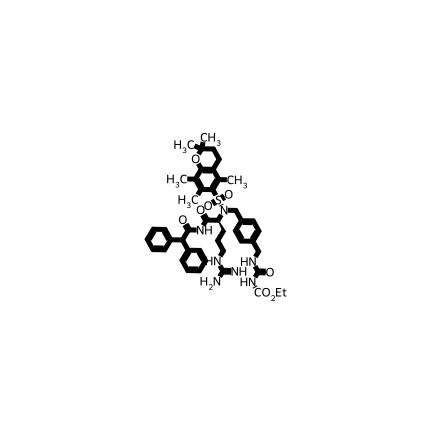 CCOC(=O)NC(=O)NCc1ccc(CN([C@@H](CCCNC(=N)N)C(=O)NC(=O)C(c2ccccc2)c2ccccc2)S(=O)(=O)c2c(C)c(C)c3c(c2C)CCC(C)(C)O3)cc1